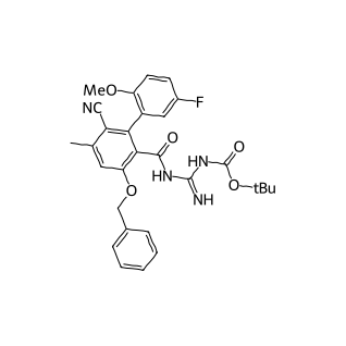 COc1ccc(F)cc1-c1c(C#N)c(C)cc(OCc2ccccc2)c1C(=O)NC(=N)NC(=O)OC(C)(C)C